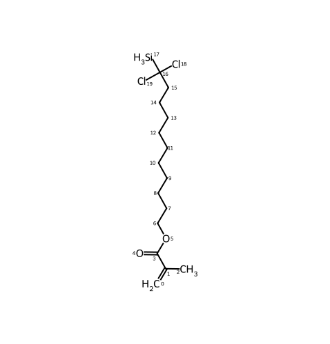 C=C(C)C(=O)OCCCCCCCCCCC([SiH3])(Cl)Cl